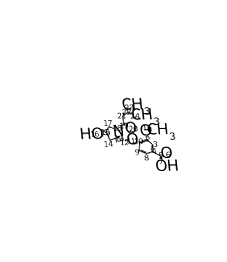 COc1cc(C(=O)O)ccc1OC[C@@H]1C[C@H](O)CN1C(=O)CC(C)C